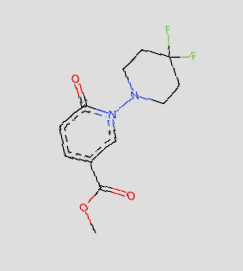 COC(=O)c1ccc(=O)n(N2CCC(F)(F)CC2)c1